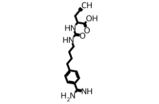 C#CCC(NC(=O)NCCCCc1ccc(C(=N)N)cc1)C(=O)O